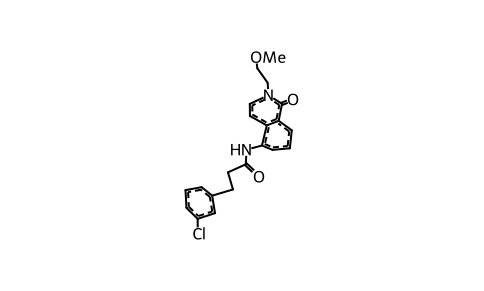 COCCn1ccc2c(NC(=O)CCc3cccc(Cl)c3)cccc2c1=O